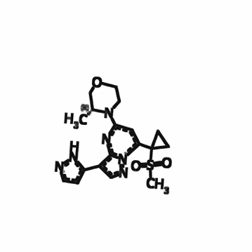 C[C@@H]1COCCN1c1cc(C2(S(C)(=O)=O)CC2)n2ncc(-c3ccn[nH]3)c2n1